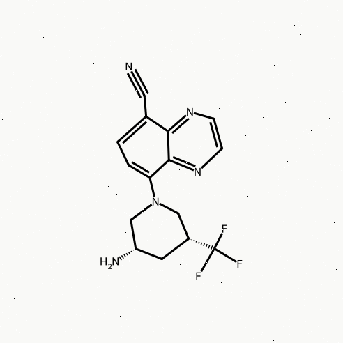 N#Cc1ccc(N2C[C@@H](N)C[C@@H](C(F)(F)F)C2)c2nccnc12